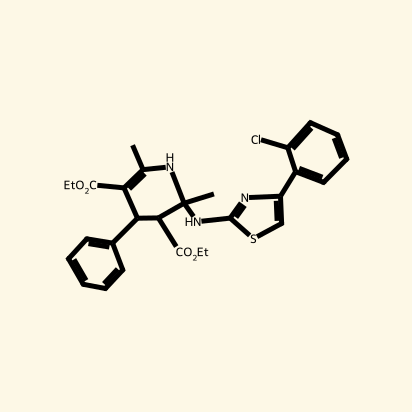 CCOC(=O)C1=C(C)NC(C)(Nc2nc(-c3ccccc3Cl)cs2)C(C(=O)OCC)C1c1ccccc1